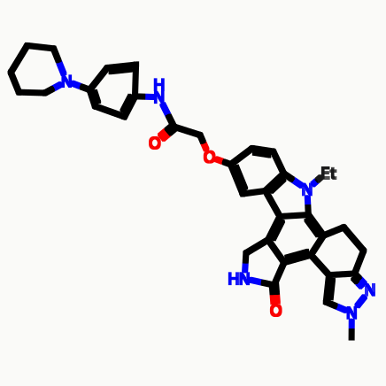 CCn1c2ccc(OCC(=O)Nc3ccc(N4CCCCC4)cc3)cc2c2c3c(c4c(c21)CCc1nn(C)cc1-4)C(=O)NC3